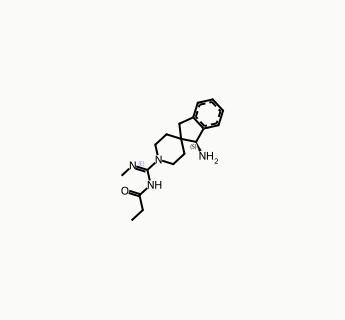 CCC(=O)N/C(=N\C)N1CCC2(CC1)Cc1ccccc1[C@H]2N